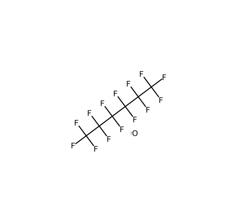 FC(F)(F)C(F)(F)C(F)(F)C(F)(F)C(F)(F)C(F)(F)F.[O]